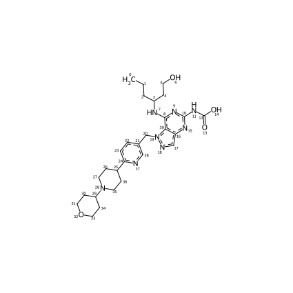 CCCC(CCO)Nc1nc(NC(=O)O)nc2cnn(Cc3ccc(C4CCN(C5CCOCC5)CC4)nc3)c12